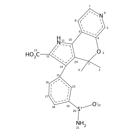 CC1(C)Oc2cnccc2-c2[nH]c(C(=O)O)c(-c3cccc([S+](N)[O-])c3)c21